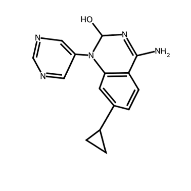 NC1=NC(O)N(c2cncnc2)c2cc(C3CC3)ccc21